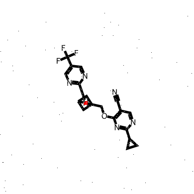 N#Cc1cnc(C2CC2)nc1OCC12CC(C1)N(c1ncc(C(F)(F)F)cn1)C2